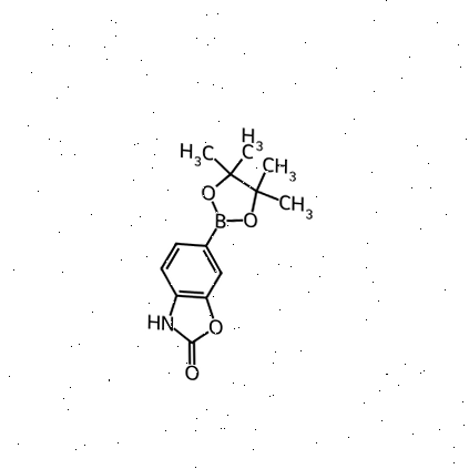 CC1(C)OB(c2ccc3[nH]c(=O)oc3c2)OC1(C)C